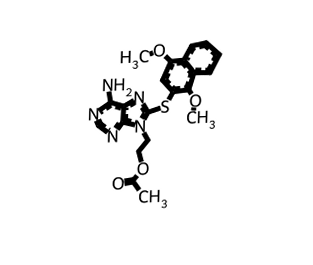 COc1cc(Sc2nc3c(N)ncnc3n2CCOC(C)=O)c(OC)c2ccccc12